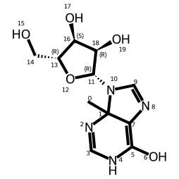 CC12N=CNC(O)=C1N=CN2[C@@H]1O[C@H](CO)[C@@H](O)[C@H]1O